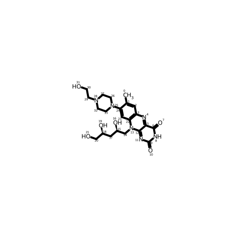 Cc1cc2nc3c(=O)[nH]c(=O)nc-3n(C[C@H](O)C[C@H](O)CO)c2cc1N1CCN(CCO)CC1